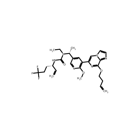 C=CCCOc1nc(-c2cc([C@@H](C)N(CC)C(=O)N[C@H](C=C)CCC(F)(F)F)cnc2OC)cn2ccnc12